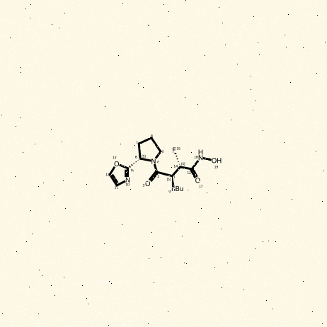 CCCC[C@@H](C(=O)N1CCC[C@H]1c1ncco1)[C@H](F)C(=O)NO